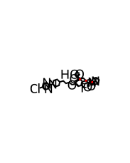 O=C(Cc1ccc(OCCCC2CCN(c3ncc(Cl)cn3)CC2)cc1F)N1CC2CC(C1)N2C(=O)CCCCS(=O)(=O)O